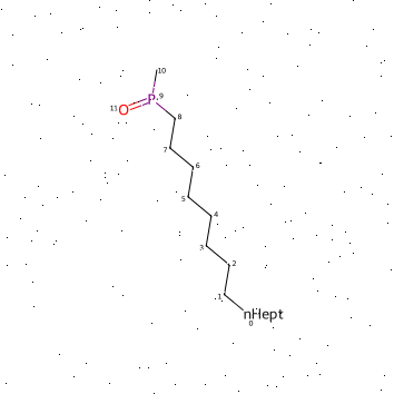 CCCCCCCCCCCCCCC[P](C)=O